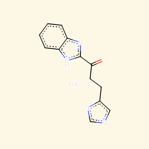 N[C@@H](Cc1c[nH]cn1)C(=O)c1nc2ccccc2[nH]1